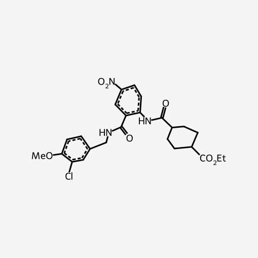 CCOC(=O)C1CCC(C(=O)Nc2ccc([N+](=O)[O-])cc2C(=O)NCc2ccc(OC)c(Cl)c2)CC1